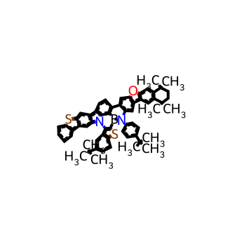 CC(C)(C)c1ccc(N2B3c4sc5ccc(C(C)(C)C)cc5c4-n4c5cc6c(cc5c5ccc(c3c54)-c3cc4oc5cc7c(cc5c4cc32)C(C)(C)CCC7(C)C)sc2ccccc26)cc1